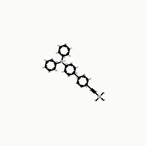 C[Si](C)(C)C#Cc1ccc(-c2ccc(N(c3ccccc3)c3ccccc3)cc2)cc1